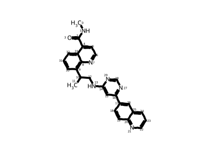 CNC(=O)c1ccnc2c(C(C)CNc3cc(-c4ccc5ncccc5c4)ncn3)cccc12